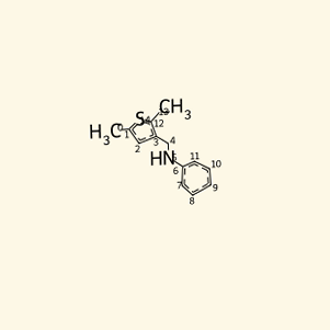 Cc1cc(CNc2ccccc2)c(C)s1